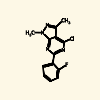 Cc1nn(C)c2nc(-c3ccccc3F)nc(Cl)c12